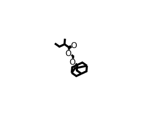 CCC(C)C(=O)OCOC12CC3CC(CC(C3)C1)C2